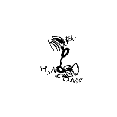 COC(=O)Cn1c(=O)oc2c(CCc3cccc(NC(=O)OC(C)(C)C)c3)cc(N)cc21